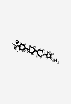 CS(=O)(=O)c1ccc(N2CCC(C3CCN(c4ncc(N)s4)CC3)CC2)cc1